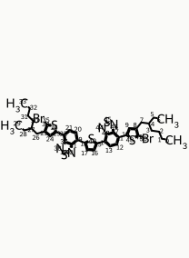 CCCCC(CC)Cc1cc(-c2ccc(-c3ccc(-c4ccc(-c5cc(CC(CC)CCCC)c(Br)s5)c5nsnc45)s3)c3nsnc23)sc1Br